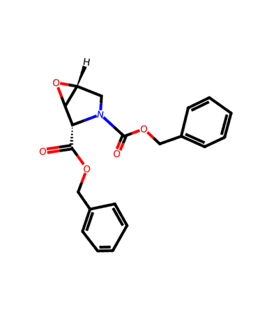 O=C(OCc1ccccc1)[C@@H]1C2O[C@@H]2CN1C(=O)OCc1ccccc1